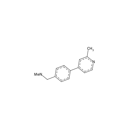 CNCc1ccc(-c2ccnc(C)c2)cc1